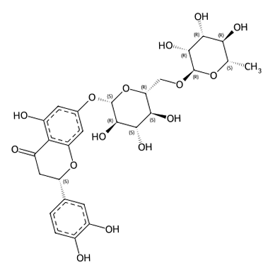 C[C@@H]1O[C@@H](OC[C@H]2O[C@@H](Oc3cc(O)c4c(c3)O[C@H](c3ccc(O)c(O)c3)CC4=O)[C@H](O)[C@@H](O)[C@@H]2O)[C@H](O)[C@H](O)[C@H]1O